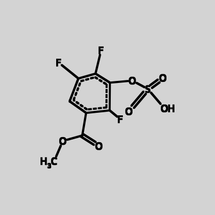 COC(=O)c1cc(F)c(F)c(OS(=O)(=O)O)c1F